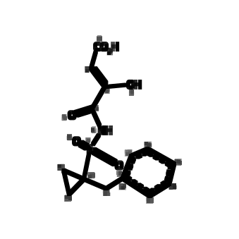 O=C(O)/C=C(\O)C(=O)NS(=O)(=O)C1(Cc2ccccc2)CC1